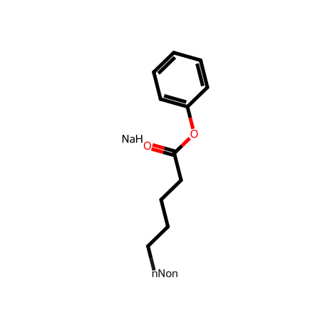 CCCCCCCCCCCCCC(=O)Oc1ccccc1.[NaH]